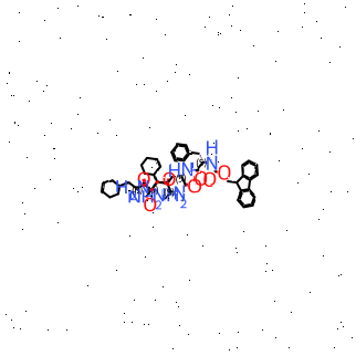 C[C@@H](C(=O)C(C1CCCCC1)[C@](N)([C]=O)C(=O)[C@H](N)CC1CCCCC1)N(C)C(=O)[C@H](CCCCN)NC(=O)[C@H](Cc1ccccc1)NC(=O)OCC1c2ccccc2-c2ccccc21